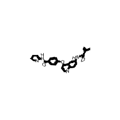 C=C(C)C(=O)Nc1ccc2nccc(Oc3ccc(C(=O)Nc4ccccn4)cc3)c2c1